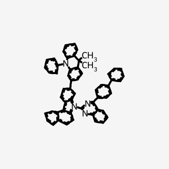 CC1(C)c2ccccc2N(c2ccccc2)c2cc(-c3ccc4c5c6ccccc6ccc5n(-c5nc(-c6ccc(-c7ccccc7)cc6)c6ccccc6n5)c4c3)ccc21